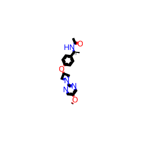 COc1cnc(N2CC(Oc3ccc([C@H](C)NC(C)=O)cc3)C2)nc1